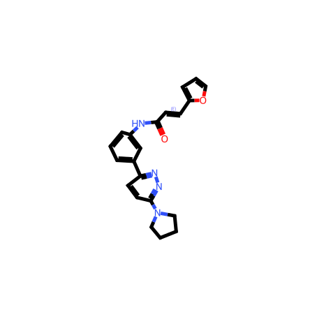 O=C(/C=C/c1ccco1)Nc1cccc(-c2ccc(N3CCCC3)nn2)c1